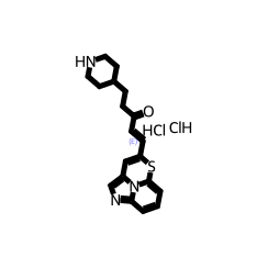 Cl.Cl.O=C(/C=C/C1=Cc2cnc3cccc(n23)S1)CCC1CCNCC1